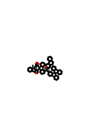 c1ccc2c(c1)-c1ccccc1C21c2ccccc2-c2ccc(N(c3ccc4c(ccc5ccccc54)c3)c3cccc4c3-c3ccccc3C43c4ccccc4-n4c5ccccc5c5cccc3c54)cc21